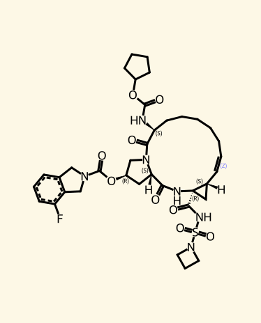 O=C(N[C@H]1CCCCC/C=C\[C@@H]2C[C@@]2(C(=O)NS(=O)(=O)N2CCC2)NC(=O)[C@@H]2C[C@@H](OC(=O)N3Cc4cccc(F)c4C3)CN2C1=O)OC1CCCC1